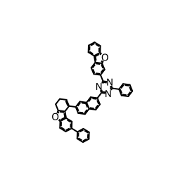 C1=C(c2ccc3ccc(-c4nc(-c5ccccc5)nc(-c5ccc6c(c5)oc5ccccc56)n4)cc3c2)c2c(oc3ccc(-c4ccccc4)cc23)CC1